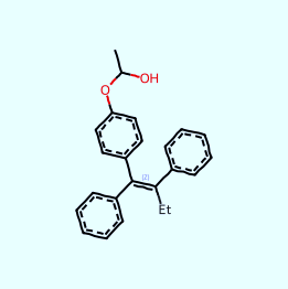 CC/C(=C(\c1ccccc1)c1ccc(OC(C)O)cc1)c1ccccc1